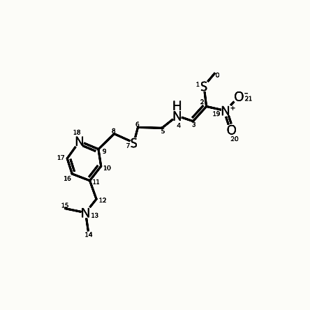 CSC(=CNCCSCc1cc(CN(C)C)ccn1)[N+](=O)[O-]